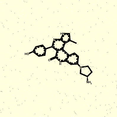 Cc1c[nH]c2nc(-c3ccc(O)cc3)c3c(=O)[nH]c4cc(N5CC[C@@H](N)C5)ccc4c3c12